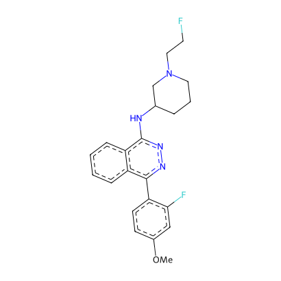 COc1ccc(-c2nnc(NC3CCCN(CCF)C3)c3ccccc23)c(F)c1